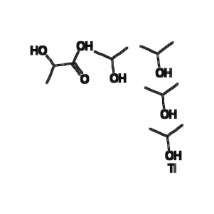 CC(C)O.CC(C)O.CC(C)O.CC(C)O.CC(O)C(=O)O.[Ti]